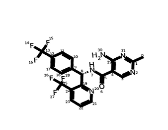 Cc1ncc(C(=O)N[C@@H](c2ccc(C(F)(F)F)cc2)c2ncccc2C(F)(F)F)c(N)n1